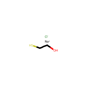 OCCS.[Cl-].[Na+]